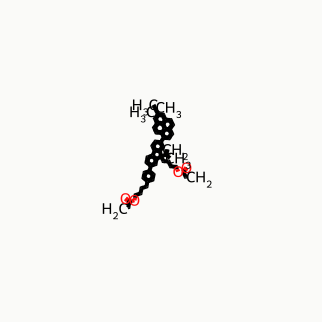 C=CC(=O)OCCCCc1ccc(-c2ccc3c(c2)C(CCCCOC(=O)C=C)(C(=C)C)c2cc(-c4ccc5ccc6cc(C(C)(C)C)cc7ccc4c5c67)ccc2-3)cc1